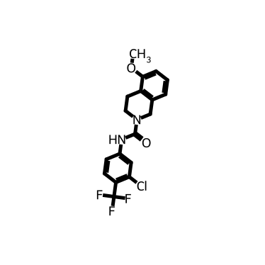 COc1cccc2c1CCN(C(=O)Nc1ccc(C(F)(F)F)c(Cl)c1)C2